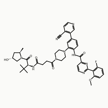 COc1cccc(F)c1-c1nccc(C(=O)Nc2ccc(-c3cnccc3C#N)cc2N2CCN(C(=O)CCC(=O)N[C@H](C(=O)N3C[C@H](O)C[C@H]3C)C(C)(C)C)CC2)n1